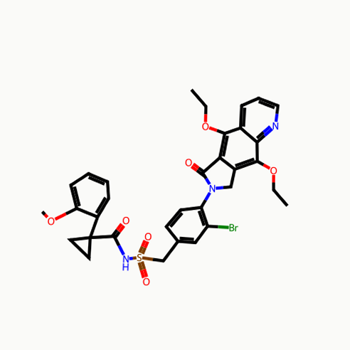 CCOc1c2c(c(OCC)c3ncccc13)CN(c1ccc(CS(=O)(=O)NC(=O)C3(c4ccccc4OC)CC3)cc1Br)C2=O